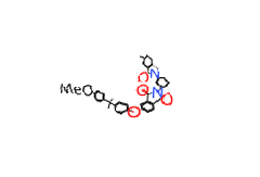 COc1ccc(C(C)(C)c2ccc(Oc3ccc4c(c3)C(=O)N(c3cccc(N5Cc6ccc(C)cc6C5=O)c3)C4=O)cc2)cc1